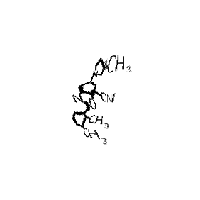 Cc1cccc(-c2nc3cc(CN4CC[C@@H](C)C4)cc(C#N)c3o2)c1C